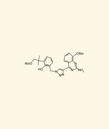 COCC(C)(C)c1cccc(Cn2cc(-c3nc(N)nc4c(OC)cccc34)nn2)[n+]1O